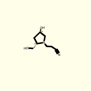 N#CCCN1C[C@H](O)C[C@H]1CO